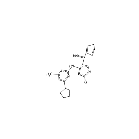 Cc1cc(Nc2cc(Cl)ncc2C(=N)C2=CCC=C2)nc(C2CCCC2)c1